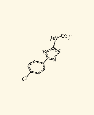 O=C(O)Nc1nc(-c2ccc(Cl)cc2)ns1